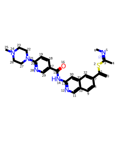 C=C(S/C(C)=N\C)c1ccc2cnc(NC(=O)c3ccc(N4CCN(C)CC4)nc3)cc2c1